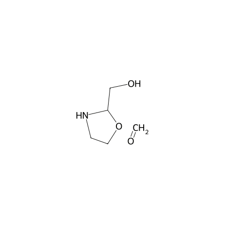 C=O.OCC1NCCO1